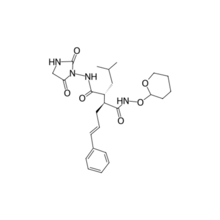 CC(C)C[C@@H](C(=O)NN1C(=O)CNC1=O)[C@H](C/C=C/c1ccccc1)C(=O)NOC1CCCCO1